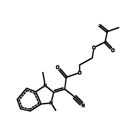 C=C(C)C(=O)OCCOC(=O)C(C#N)=C1N(C)c2ccccc2N1C